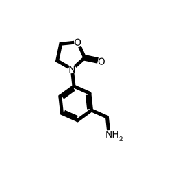 NCc1cccc(N2CCOC2=O)c1